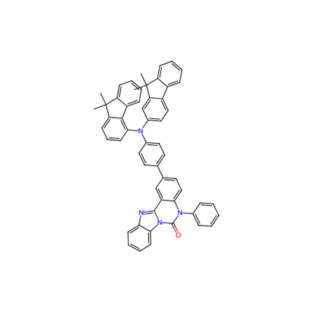 CC1(C)c2ccccc2-c2ccc(N(c3ccc(-c4ccc5c(c4)c4nc6ccccc6n4c(=O)n5-c4ccccc4)cc3)c3cccc4c3-c3ccccc3C4(C)C)cc21